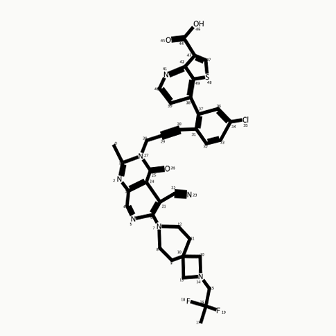 Cc1nc2cnc(N3CCC4(CC3)CN(CC(C)(F)F)C4)c(C#N)c2c(=O)n1CC#Cc1ccc(Cl)cc1-c1ccnc2c(C(=O)O)csc12